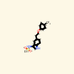 CCS(=O)(=O)Nc1c[nH]c2ccc(CCOc3ccc(C(F)(F)F)cc3)cc12